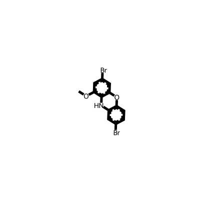 COc1cc(Br)cc2c1Nc1cc(Br)ccc1O2